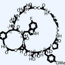 COc1ccc(C[C@@H]2NC(=O)[C@H]([C@@H](C)O)NC(=O)[C@@H]3[C@@H]4CCN3C(=O)[C@H](Cc3c[nH]c5ccc(F)cc35)NC(=O)[C@@H](NC(=O)[C@@H](C)NC(=O)[C@H](CN)NC(=O)CCC(=O)NCc3ccc(cc3)CCNC(=O)[C@]3(C)CCCN3C2=O)[C@@H](C)c2cccc(c2)CNC(=O)CO4)cc1